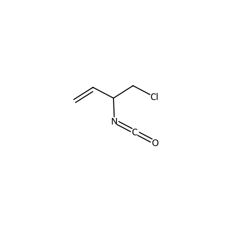 C=CC(CCl)N=C=O